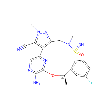 C[C@H]1Oc2nc(cnc2N)-c2c(nn(C)c2C#N)CN(C)S(=N)(=O)c2ccc(F)cc21